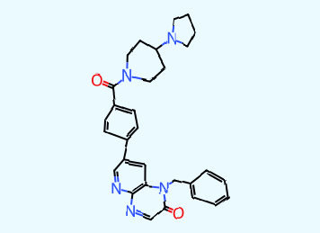 O=C(c1ccc(-c2cnc3ncc(=O)n(Cc4ccccc4)c3c2)cc1)N1CCC(N2CCCC2)CC1